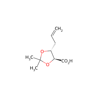 C=CC[C@H]1OC(C)(C)O[C@@H]1C(=O)O